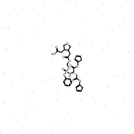 O=C(O)CC1COCC1CC(=O)OCOP(=O)(N[C@@H](CC(=O)OC1=CC=CC1)C(=O)OC1=CC=CC1)Oc1ccccc1